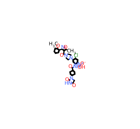 COc1ccccc1-c1noc(C)c1C(=O)N1CCN(c2cc(NC(=O)c3ccc(N4CC(=O)NC4=O)cc3)c([NH+]([O-])O)cc2Cl)CC1